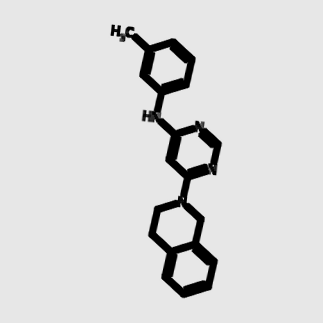 Cc1cccc(Nc2cc(N3CCc4ccccc4C3)ncn2)c1